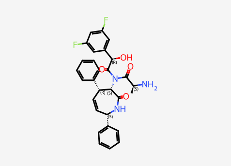 C[C@H](N)C(=O)N(C(=O)[C@H](O)c1cc(F)cc(F)c1)[C@@H]1C(=O)N[C@H](c2ccccc2)C=C[C@@H]1c1ccccc1